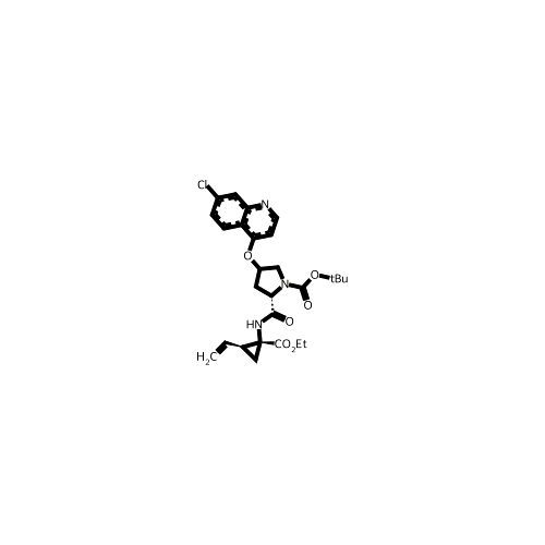 C=C[C@@H]1C[C@]1(NC(=O)[C@@H]1CC(Oc2ccnc3cc(Cl)ccc23)CN1C(=O)OC(C)(C)C)C(=O)OCC